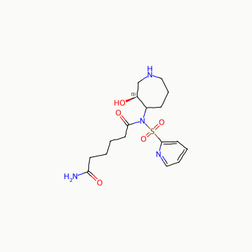 NC(=O)CCCCC(=O)N(C1CCCNC[C@@H]1O)S(=O)(=O)c1ccccn1